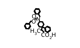 CC(CC(=O)O)C1(c2ccccc2)CCC(N(Cc2ccccc2)C(=O)OCc2ccccc2)CC1